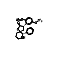 COc1ccc(OC(F)(F)F)cc1[C@@H]1C[C@@]2(CCCN[C@H]2c2ccccc2)OC1=O